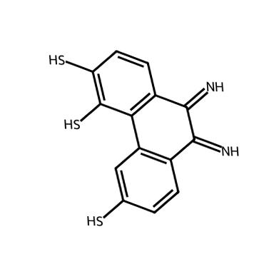 N=C1C(=N)c2ccc(S)c(S)c2-c2cc(S)ccc21